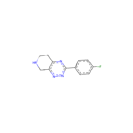 Fc1ccc(-c2nnc3c(n2)CCNC3)cc1